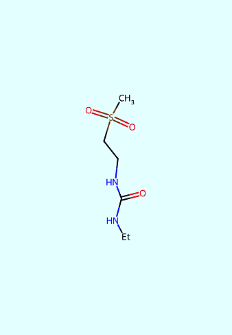 CCNC(=O)NCCS(C)(=O)=O